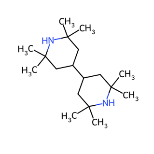 CC1(C)CC(C2CC(C)(C)NC(C)(C)C2)CC(C)(C)N1